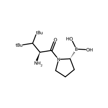 CC(C)(C)C([C@H](N)C(=O)N1CCC[C@H]1B(O)O)C(C)(C)C